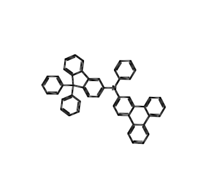 c1ccc(N(c2ccc3c(c2)-c2ccccc2C3(c2ccccc2)c2ccccc2)c2ccc3c4ccccc4c4ccccc4c3c2)cc1